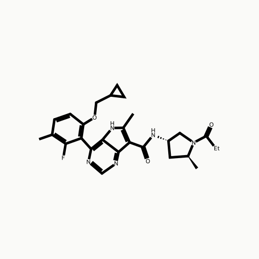 CCC(=O)N1C[C@@H](NC(=O)c2c(C)[nH]c3c(-c4c(OCC5CC5)ccc(C)c4F)ncnc23)C[C@@H]1C